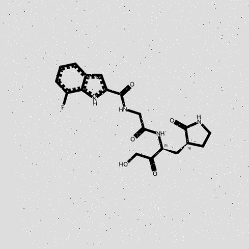 O=C(CNC(=O)c1cc2cccc(F)c2[nH]1)N[C@@H](C[C@@H]1CCNC1=O)C(=O)CO